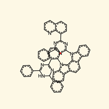 c1ccc(C2=NC(c3ccccc3-n3c4ccccc4c4ccc5c6ccccc6n(-c6nc(-c7ccccc7)nc(-c7cccc8cccnc78)n6)c5c43)=NC(c3ccccc3)N2)cc1